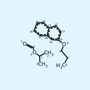 CC(C)OC=O.CCCOc1ccc2ccccc2c1